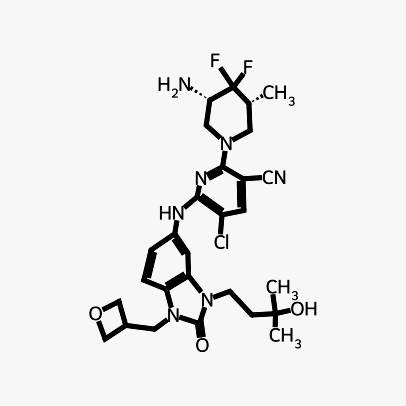 C[C@@H]1CN(c2nc(Nc3ccc4c(c3)n(CCC(C)(C)O)c(=O)n4CC3COC3)c(Cl)cc2C#N)C[C@H](N)C1(F)F